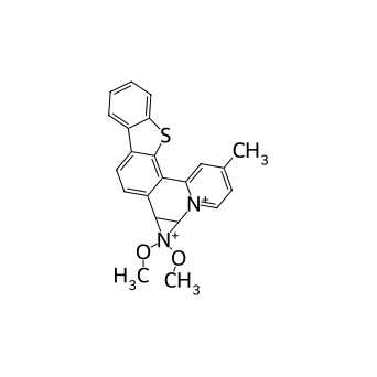 CO[N+]1(OC)C2c3ccc4c(sc5ccccc54)c3-c3cc(C)cc[n+]3C21